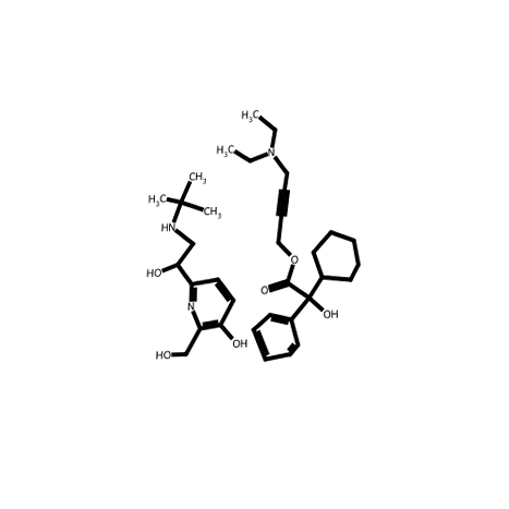 CC(C)(C)NCC(O)c1ccc(O)c(CO)n1.CCN(CC)CC#CCOC(=O)C(O)(c1ccccc1)C1CCCCC1